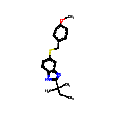 CCC(C)(C)c1nc2cc(SCc3ccc(OC)cc3)ccc2[nH]1